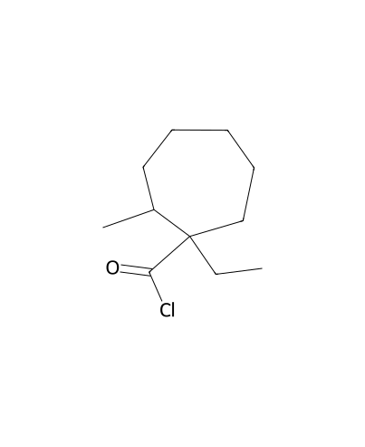 CCC1(C(=O)Cl)CCCCCC1C